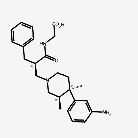 C[C@H]1CN(C[C@@H](Cc2ccccc2)C(=O)NCC(=O)O)CC[C@@]1(C)c1cccc(N)c1